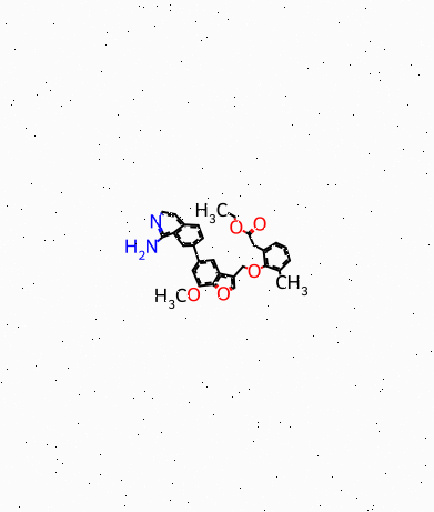 CCOC(=O)Cc1cccc(C)c1OCc1coc2c(OC)cc(-c3ccc4ccnc(N)c4c3)cc12